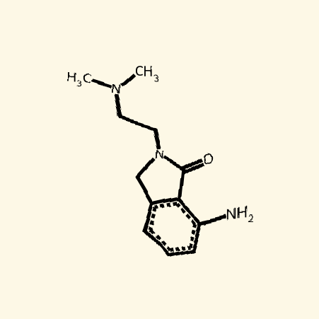 CN(C)CCN1Cc2cccc(N)c2C1=O